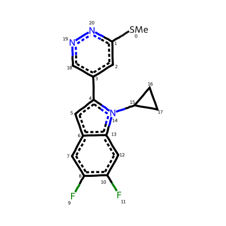 CSc1cc(-c2cc3cc(F)c(F)cc3n2C2CC2)cnn1